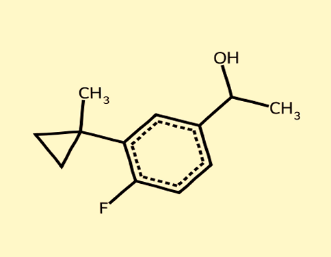 CC(O)c1ccc(F)c(C2(C)CC2)c1